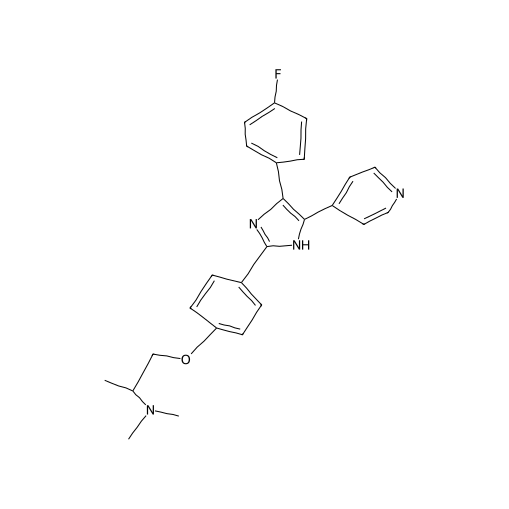 CC(COc1ccc(-c2nc(-c3ccc(F)cc3)c(-c3ccncc3)[nH]2)cc1)N(C)C